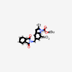 [CH2]Cc1cc2cc(CN3C(=O)c4ccccc4C3=O)cc([N+](=O)[O-])c2n1C(=O)OC(C)(C)C